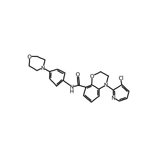 O=C(Nc1ccc(N2CCOCC2)cc1)c1cccc2c1OCCN2c1ncccc1Cl